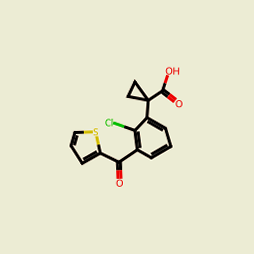 O=C(c1cccs1)c1cccc(C2(C(=O)O)CC2)c1Cl